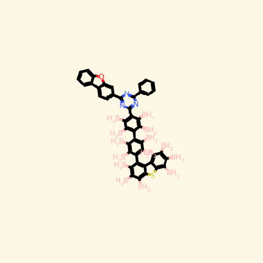 Bc1c(B)c(-c2c(B)c(B)c(-c3c(B)c(B)c(B)c4sc5c(B)c(B)c(B)c(B)c5c34)c(B)c2B)c(B)c(B)c1-c1nc(-c2ccccc2)nc(-c2ccc3c(c2)oc2ccccc23)n1